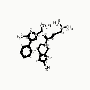 CCOC(=O)Cn1cc(-c2ccccc2[C@@H]2CN(C(=O)/C=C/CN(C)C)Cc3sc(C#N)cc32)c(C(F)(F)F)n1